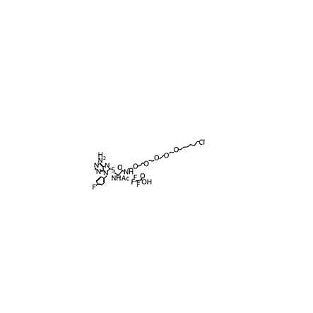 CC(=O)N[C@@H](CSc1nc2c(N)ncnc2n1Cc1ccc(F)cc1)C(=O)NCCOCCOCCOCCOCCOCCCCCCCl.O=C(O)C(F)(F)F